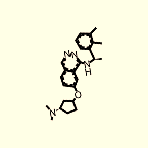 Cc1cccc([C@@H](C)Nc2nncc3ccc(OC4CC[C@H](N(C)C)C4)cc23)c1C